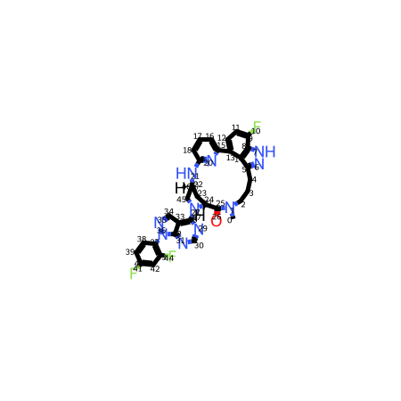 CN1CCCc2n[nH]c3c(F)ccc(c23)-c2cccc(n2)N[C@H]2C[C@@H](C1=O)N(c1ncnc3c1cnn3-c1ccc(F)cc1F)C2